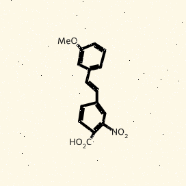 COc1cccc(/C=C/c2ccc(C(=O)O)c([N+](=O)[O-])c2)c1